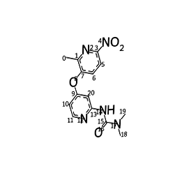 Cc1nc([N+](=O)[O-])ccc1Oc1ccnc(NC(=O)N(C)C)c1